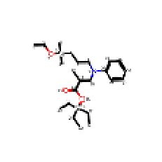 CCO[Si](C)(C)CCCN(CC(C)C(=O)O[Si](CC)(CC)CC)c1ccccc1